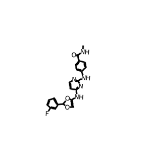 CNC(=O)c1ccc(Nc2nccc(NC3=COC(c4cccc(F)c4)O3)n2)cc1